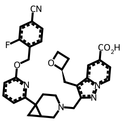 N#Cc1ccc(COc2cccc(C34CCN(Cc5nn6ccc(C(=O)O)cc6c5C[C@@H]5CCO5)CC3C4)n2)c(F)c1